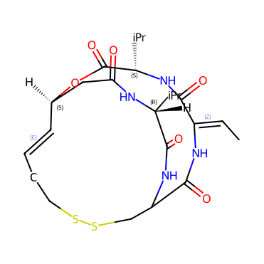 C/C=C1\NC(=O)C2CSSCC/C=C/[C@H](CC(=O)N[C@H](C(C)C)C(=O)N2)OC(=O)[C@H](C(C)C)NC1=O